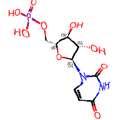 O=c1ccn([C@H]2O[C@H](COP(=O)(O)O)[C@@H](O)[C@@H]2O)c(=O)[nH]1